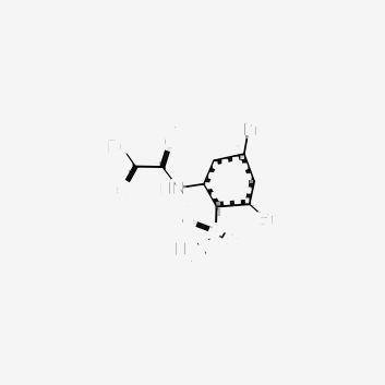 CCC(=O)C(=O)Nc1cc(Br)cc(Br)c1S(N)(=O)=O